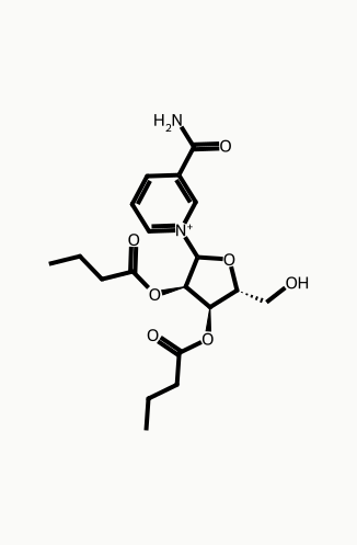 CCCC(=O)O[C@@H]1[C@@H](CO)OC([n+]2cccc(C(N)=O)c2)[C@@H]1OC(=O)CCC